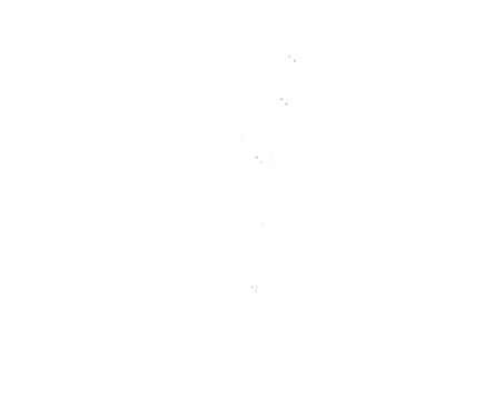 CN1CCC(C)(CNC(=O)c2n[nH]c3ccc(F)cc23)CC1